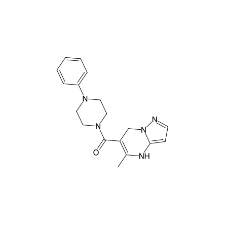 CC1=C(C(=O)N2CCN(c3ccccc3)CC2)Cn2nccc2N1